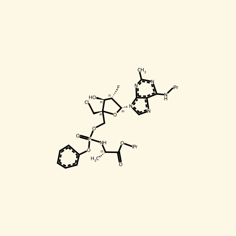 Cc1nc(NC(C)C)c2ncn([C@@H]3O[C@](CCl)(COP(=O)(N[C@@H](C)C(=O)OC(C)C)Oc4ccccc4)[C@@H](O)[C@@H]3F)c2n1